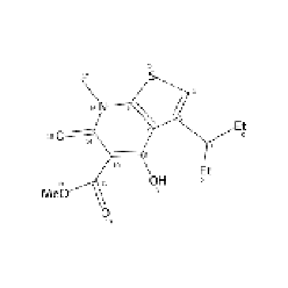 CCC(CC)c1csc2c1c(O)c(C(=O)OC)c(=O)n2C